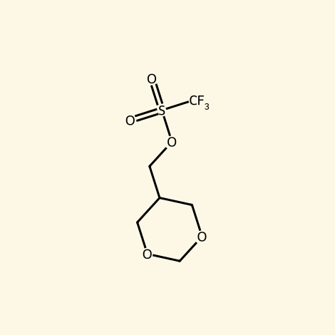 O=S(=O)(OCC1COCOC1)C(F)(F)F